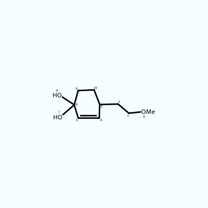 COCCC1C=CC(O)(O)CC1